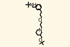 CC(C)(C)NCc1cccc(CCCOCCCN2CCCC(COC(C)(C)C)C2)c1